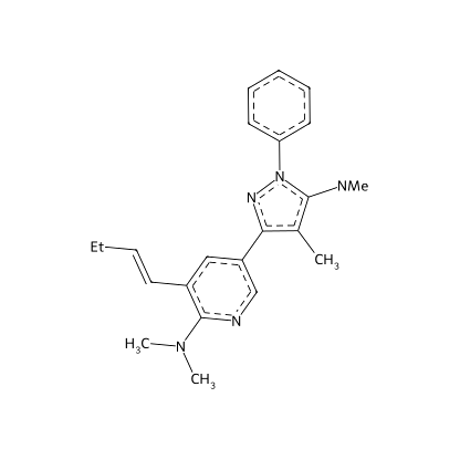 CC/C=C/c1cc(-c2nn(-c3ccccc3)c(NC)c2C)cnc1N(C)C